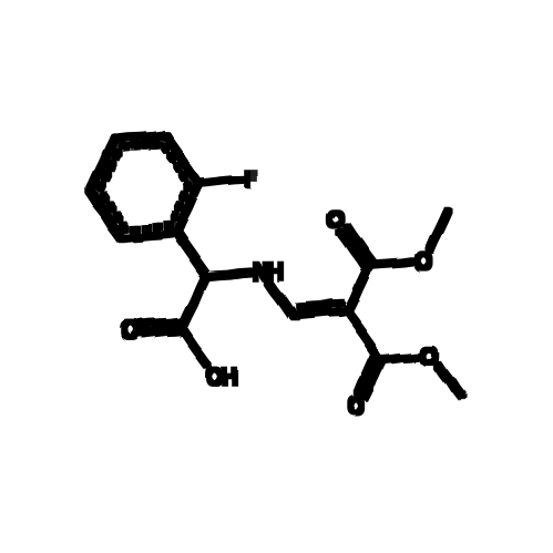 COC(=O)C(=CNC(C(=O)O)c1ccccc1F)C(=O)OC